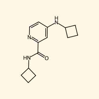 O=C(NC1CCC1)c1cc(NC2CCC2)ccn1